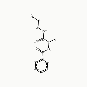 CC(OC(=O)c1ccccc1)C(=O)OCCCl